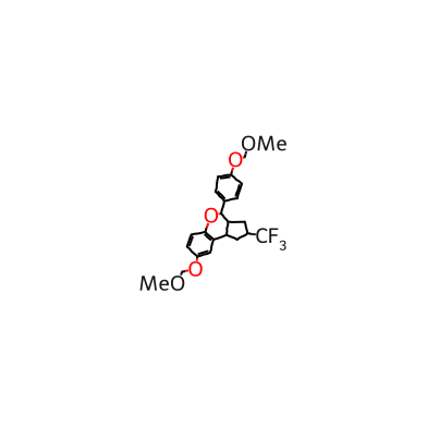 COCOc1ccc(C2Oc3ccc(OCOC)cc3C3CC(C(F)(F)F)CC32)cc1